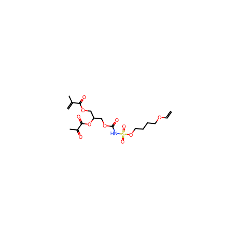 C=COCCCCOS(=O)(=O)NC(=O)OCC(COC(=O)C(=C)C)OC(=O)C(C)=O